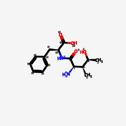 C[C@@H]([C@H](C)O)[C@H](N)C(=O)N[C@@H](Cc1ccccc1)C(=O)O